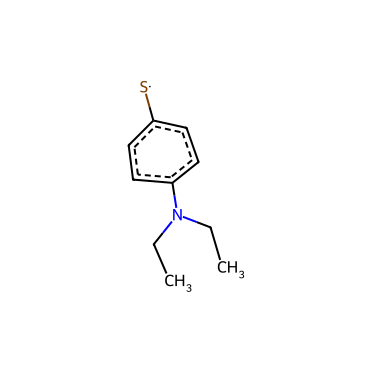 CCN(CC)c1ccc([S])cc1